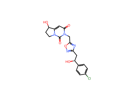 O=c1cc2n(c(=O)n1Cc1nc(C[C@H](O)c3ccc(Cl)cc3)no1)CCC2O